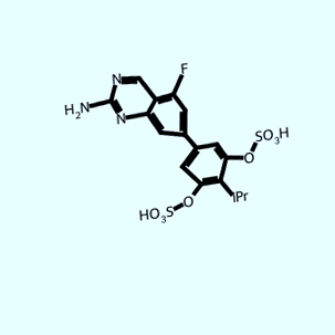 CC(C)c1c(OS(=O)(=O)O)cc(-c2cc(F)c3cnc(N)nc3c2)cc1OS(=O)(=O)O